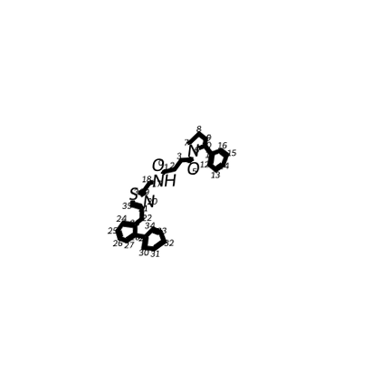 O=C(CCC(=O)N1CCCC1c1ccccc1)NCc1nc(Cc2ccccc2-c2ccccc2)cs1